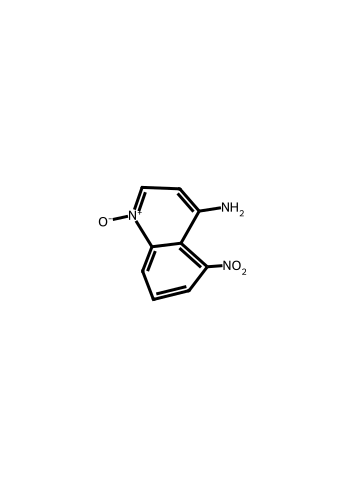 Nc1cc[n+]([O-])c2cccc([N+](=O)[O-])c12